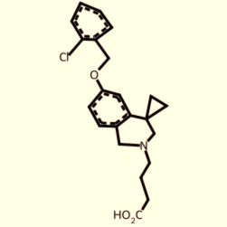 O=C(O)CCCN1Cc2ccc(OCc3ccccc3Cl)cc2C2(CC2)C1